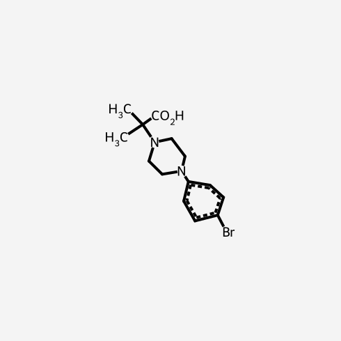 CC(C)(C(=O)O)N1CCN(c2ccc(Br)cc2)CC1